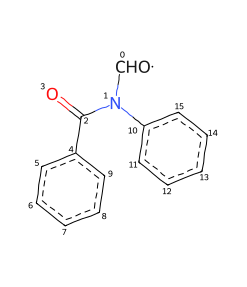 O=[C]N(C(=O)c1ccccc1)c1ccccc1